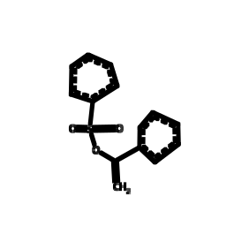 C=C(OS(=O)(=O)c1ccccc1)c1ccccc1